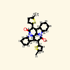 CCc1ccc(-c2c(=O)n3c4ccccc4c4c(-c5ccc(C)s5)c(=O)n5c6ccccc6c2c5c43)s1